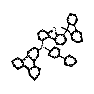 CC1(c2cccc3c2oc2cccc(N(c4ccc(-c5ccccc5)cc4)c4ccc5c6ccccc6c6ccccc6c5c4)c23)c2ccccc2-c2ccccc21